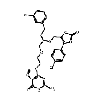 Nc1nc2c(ncn2CCOCP(OCc2cccc(Cl)c2)OCc2oc(=O)oc2-c2ccc(Cl)cc2)c(=O)[nH]1